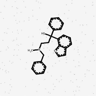 CN(CCC(S)(c1ccccc1)c1cccc2ccsc12)Cc1ccccc1